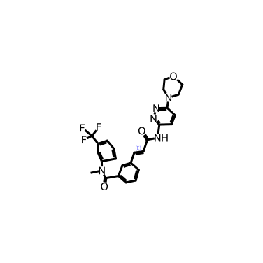 CN(C(=O)c1cccc(/C=C/C(=O)Nc2ccc(N3CCOCC3)nn2)c1)c1cccc(C(F)(F)F)c1